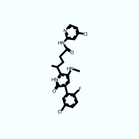 CNc1cc(-c2cc(Cl)ccc2F)c(=O)[nH]c1C(C)CCC(=O)Nc1cc(Cl)ccn1